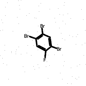 Fc1cc(Br)c(Br)cc1Br